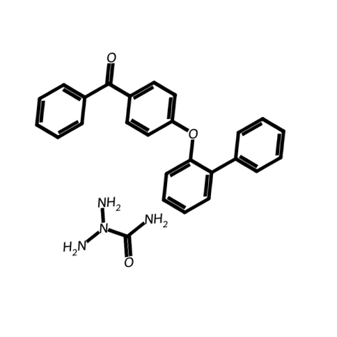 NC(=O)N(N)N.O=C(c1ccccc1)c1ccc(Oc2ccccc2-c2ccccc2)cc1